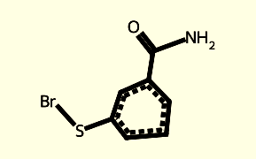 NC(=O)c1cccc(SBr)c1